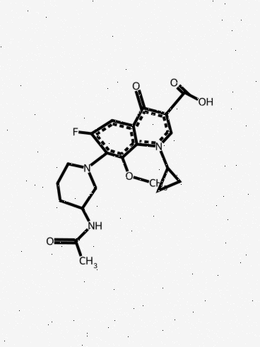 COc1c(N2CCCC(NC(C)=O)C2)c(F)cc2c(=O)c(C(=O)O)cn(C3CC3)c12